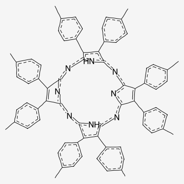 Cc1ccc(C2=C(c3ccc(C)cc3)c3nc2nc2[nH]c(nc4nc(nc5[nH]c(n3)c(-c3ccc(C)cc3)c5-c3ccc(C)cc3)C(c3ccc(C)cc3)=C4c3ccc(C)cc3)c(-c3ccc(C)cc3)c2-c2ccc(C)cc2)cc1